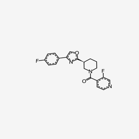 O=C(c1ccncc1F)N1CCC[C@H](c2nc(-c3ccc(F)cc3)co2)C1